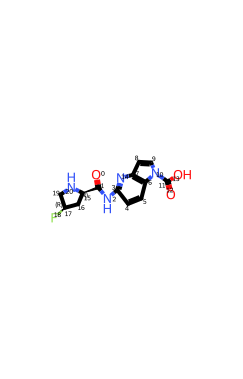 O=C(Nc1ccc2c(ccn2C(=O)O)n1)[C@H]1C[C@@H](F)CN1